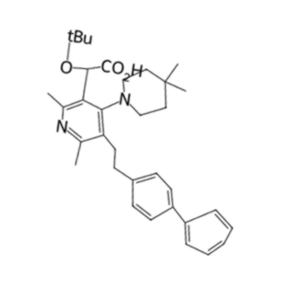 Cc1nc(C)c(C(OC(C)(C)C)C(=O)O)c(N2CCC(C)(C)CC2)c1CCc1ccc(-c2ccccc2)cc1